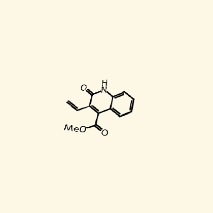 C=Cc1c(C(=O)OC)c2ccccc2[nH]c1=O